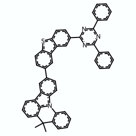 CC1(C)c2ccccc2-n2c3ccc(-c4ccc5sc6ccc(-c7nc(-c8ccccc8)nc(-c8ccccc8)n7)cc6c5c4)cc3c3cccc1c32